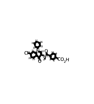 CN(C(=O)c1ccc(C(=O)O)cc1)c1cn(-c2ccccc2)c2cc(Cl)ccc2c1=O